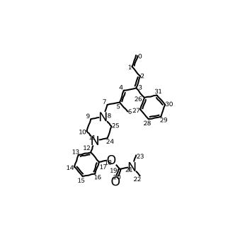 C=C/C=C(\C=C(/C)CN1CCN(c2ccccc2OC(=O)N(C)C)CC1)c1ccccc1